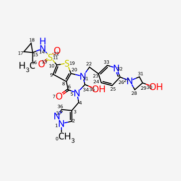 Cn1cc(CN2C(=O)c3cc(S(=O)(=O)NC4(C)CC4)sc3N(Cc3ccc(N4CC(O)C4)nc3)C2O)cn1